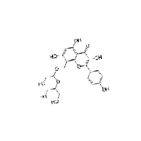 O=c1c(O)c(-c2ccc(O)cc2)oc2c(COC(CO)OC(CO)CO)c(O)cc(O)c12